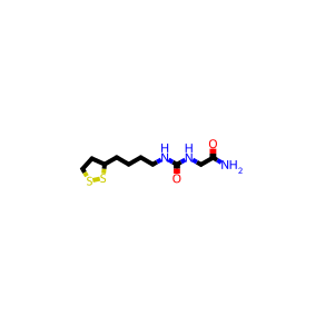 NC(=O)CNC(=O)NCCCCC1CCSS1